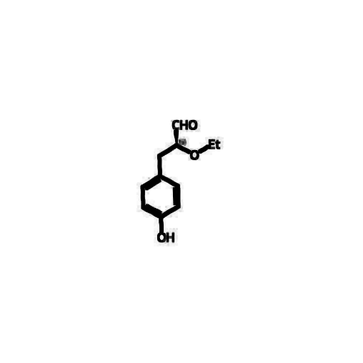 CCO[C@H](C=O)Cc1ccc(O)cc1